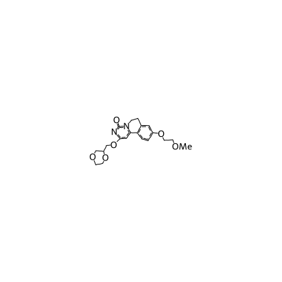 COCCOc1ccc2c(c1)CCn1c-2cc(OCC2COCCO2)nc1=O